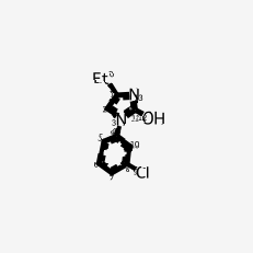 CCc1cn(-c2cccc(Cl)c2)c(O)n1